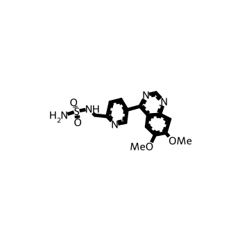 COc1cc2ncnc(-c3ccc(CNS(N)(=O)=O)nc3)c2cc1OC